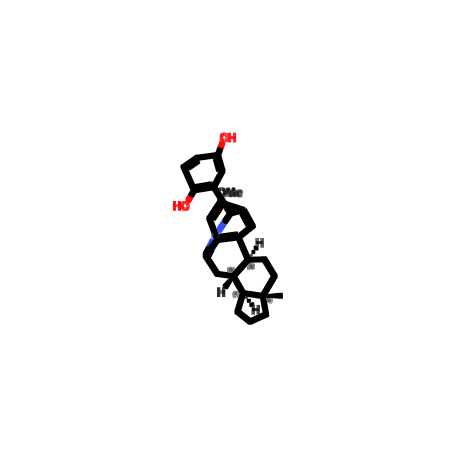 COc1cc2c3cc1C(c1cc(O)ccc1O)N=C2C[C@@H]1[C@@H]3CC[C@]2(C)CCC[C@@H]12